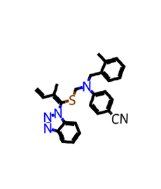 C=C/C(C)=C(/SCN(Cc1ccccc1C)c1ccc(C#N)cc1)n1nnc2ccccc21